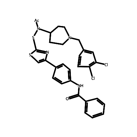 CC(=O)N(Sc1nc(-c2ccc(NC(=O)c3ccccc3)cc2)cs1)C1CCN(Cc2ccc(Cl)c(Cl)c2)CC1